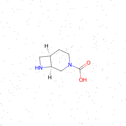 O=C(O)N1CC[C@@H]2CN[C@@H]2C1